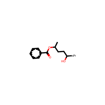 CCCC(O)CCC(C)OC(=O)c1cc[c]cc1